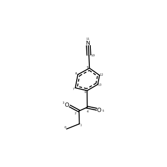 CCC(=O)C(=O)c1ccc(C#N)cc1